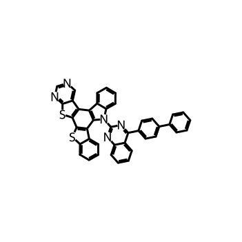 c1ccc(-c2ccc(-c3nc(-n4c5ccccc5c5c6c7cncnc7sc6c6sc7ccccc7c6c54)nc4ccccc34)cc2)cc1